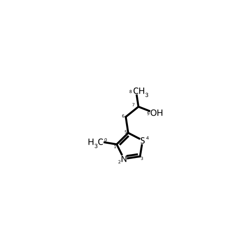 Cc1ncsc1CC(C)O